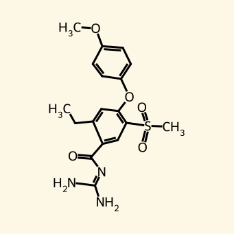 CCc1cc(Oc2ccc(OC)cc2)c(S(C)(=O)=O)cc1C(=O)N=C(N)N